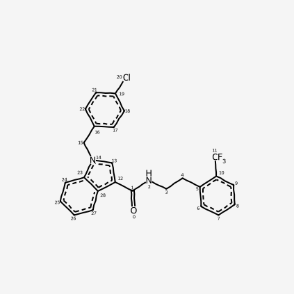 O=C(NCCc1ccccc1C(F)(F)F)c1cn(Cc2ccc(Cl)cc2)c2ccccc12